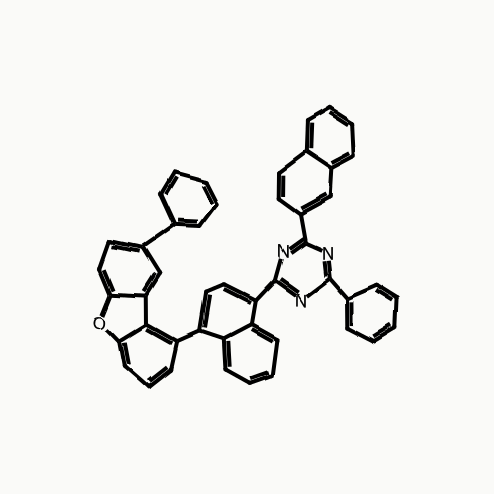 c1ccc(-c2ccc3oc4cccc(-c5ccc(-c6nc(-c7ccccc7)nc(-c7ccc8ccccc8c7)n6)c6ccccc56)c4c3c2)cc1